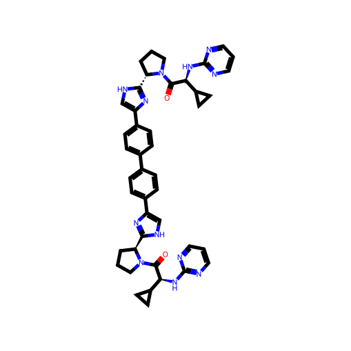 O=C([C@@H](Nc1ncccn1)C1CC1)N1CCC[C@H]1c1nc(-c2ccc(-c3ccc(-c4c[nH]c([C@@H]5CCCN5C(=O)[C@@H](Nc5ncccn5)C5CC5)n4)cc3)cc2)c[nH]1